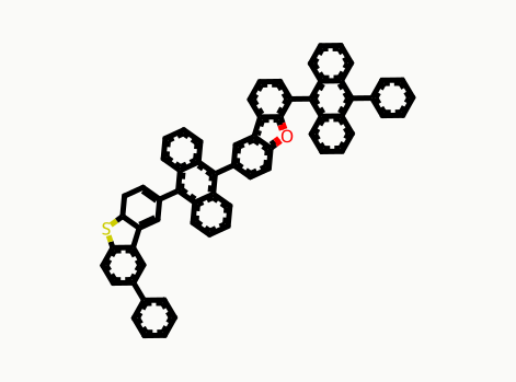 C1=C(c2c3ccccc3c(-c3ccc4oc5c(-c6c7ccccc7c(-c7ccccc7)c7ccccc67)cccc5c4c3)c3ccccc23)C=C2c3cc(-c4ccccc4)ccc3SC2C1